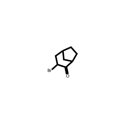 O=C1C(Br)CC2CCC1C2